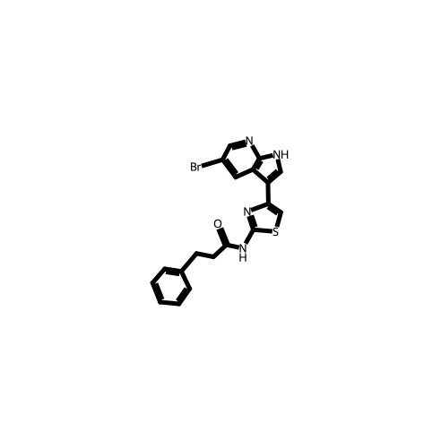 O=C(CCc1ccccc1)Nc1nc(-c2c[nH]c3ncc(Br)cc23)cs1